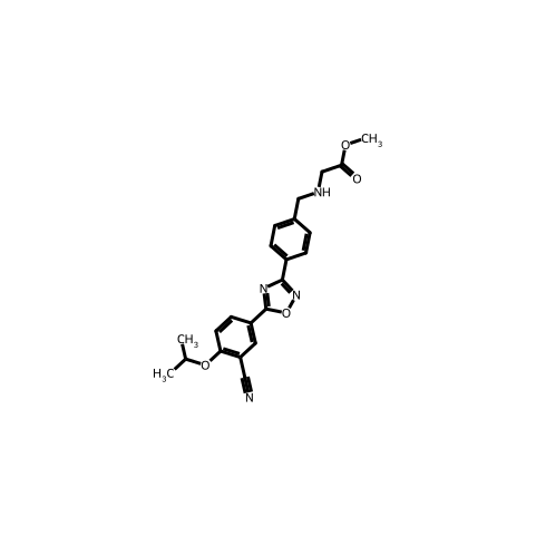 COC(=O)CNCc1ccc(-c2noc(-c3ccc(OC(C)C)c(C#N)c3)n2)cc1